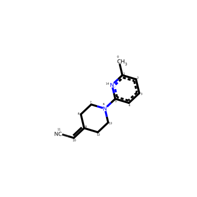 Cc1cccc(N2CCC(=CC#N)CC2)n1